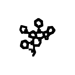 CC[C@H](C)C1=CCB2c3oc4ccccc4c3N(c3ccccc3)c3cc(N4CCCC4)cc(c32)N1c1ccccc1